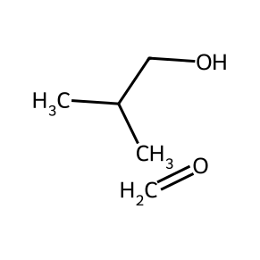 C=O.CC(C)CO